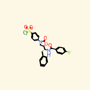 O=C(N[C@H](Cc1ccccc1)C1CN(c2ccc(S(=O)(=O)Cl)cc2)C(=O)O1)c1ccc(F)cc1